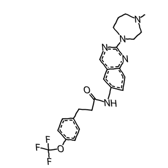 CN1CCCN(c2ncc3cc(NC(=O)CCc4ccc(OC(F)(F)F)cc4)ccc3n2)CC1